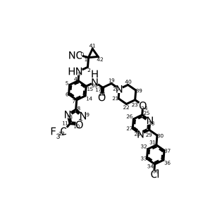 N#CC1(CNc2ccc(-c3noc(C(F)(F)F)n3)cc2NC(=O)CN2CCC(Oc3ccnc(Cc4ccc(Cl)cc4)n3)CC2)CC1